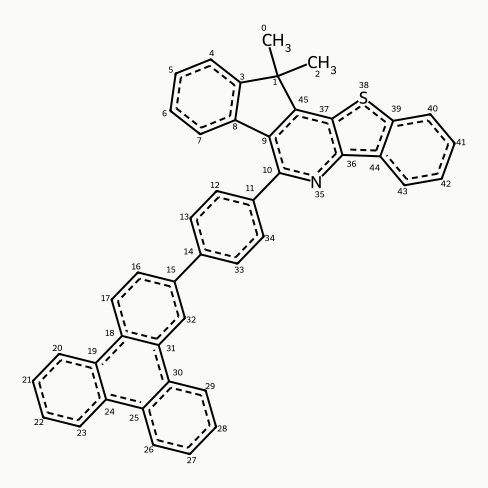 CC1(C)c2ccccc2-c2c(-c3ccc(-c4ccc5c6ccccc6c6ccccc6c5c4)cc3)nc3c(sc4ccccc43)c21